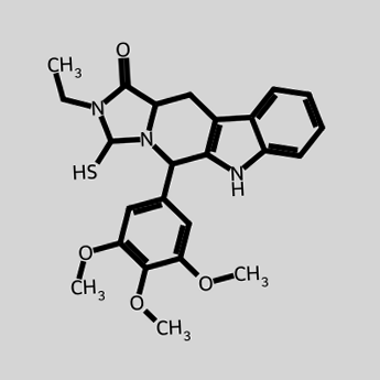 CCN1C(=O)C2Cc3c([nH]c4ccccc34)C(c3cc(OC)c(OC)c(OC)c3)N2C1S